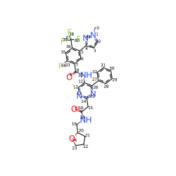 Cn1ccc(-c2cc(C(=O)Nc3cnc(CC(=O)NCC4CCCO4)nc3-c3ccccc3)c(F)cc2C(F)(F)F)n1